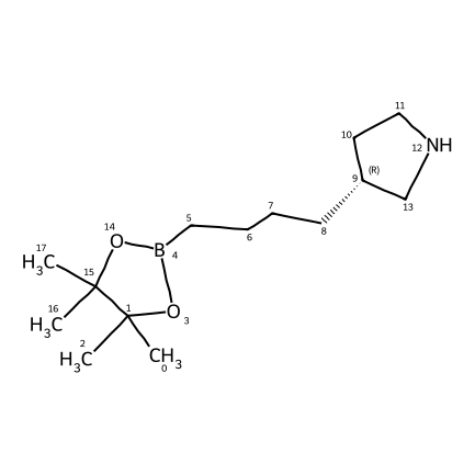 CC1(C)OB(CCCC[C@@H]2CCNC2)OC1(C)C